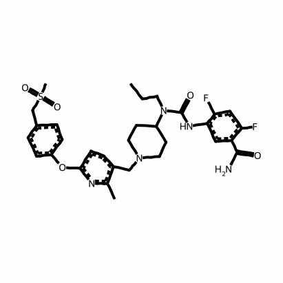 CCCN(C(=O)Nc1cc(C(N)=O)c(F)cc1F)C1CCN(Cc2ccc(Oc3ccc(CS(C)(=O)=O)cc3)nc2C)CC1